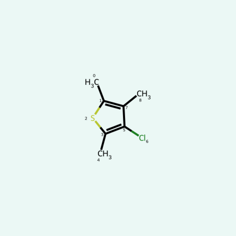 Cc1sc(C)c(Cl)c1C